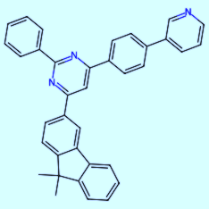 CC1(C)c2ccccc2-c2cc(-c3cc(-c4ccc(-c5cccnc5)cc4)nc(-c4ccccc4)n3)ccc21